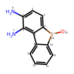 Nc1ccc2c(c1N)c1ccccc1[s+]2[O-]